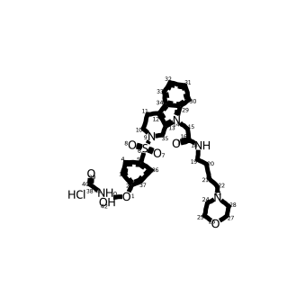 COc1ccc(S(=O)(=O)N2CCc3c(n(CC(=O)NCCCCN4CCOCC4)c4ccccc34)C2)cc1.Cl.O=CNO